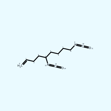 C=CCCC(CCCCN=C=O)N=C=O